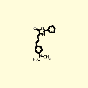 CN(C)c1ccc(/C=C/C=C2\N=C(c3ccccc3)OC2=O)cc1